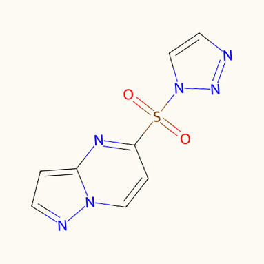 O=S(=O)(c1ccn2nccc2n1)n1ccnn1